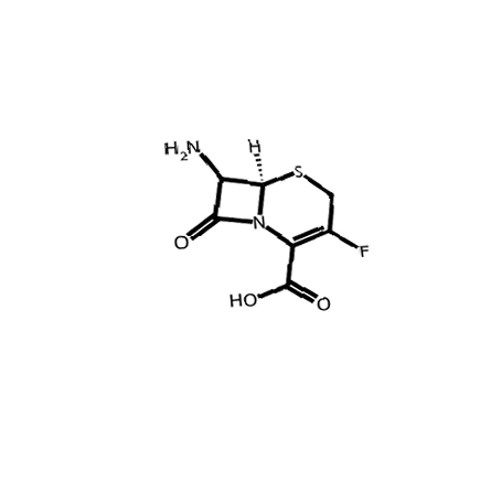 NC1C(=O)N2C(C(=O)O)=C(F)CS[C@H]12